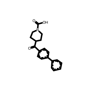 O=C(c1ccc(-c2ccccc2)cc1)C1CCN(C(=O)O)CC1